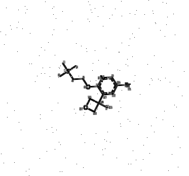 CS(C)(C)CCOc1ncc(Br)cc1C1(F)COC1